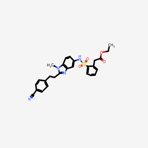 CCOC(=O)Cc1ccccc1S(=O)(=O)Nc1ccc2c(c1)nc(CCc1ccc(C#N)cc1)n2C